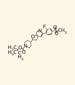 CC(C)(C)OC(=O)N1CCC(C2Cc3cc(-c4ccc(S(C)(=O)=O)cc4F)ncc3O2)CC1